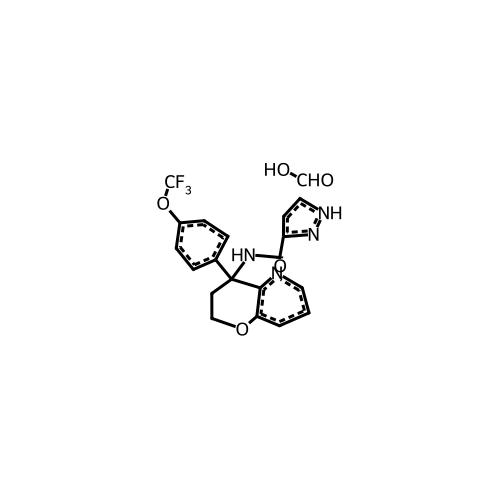 O=C(NC1(c2ccc(OC(F)(F)F)cc2)CCOc2cccnc21)c1cc[nH]n1.O=CO